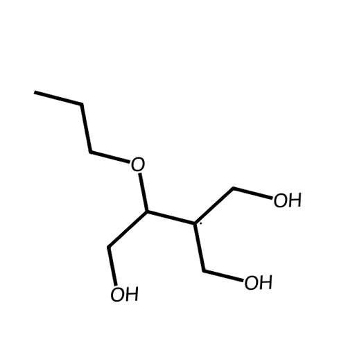 CCCOC(CO)[C](CO)CO